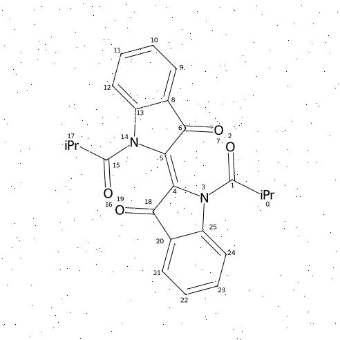 CC(C)C(=O)N1C(=C2C(=O)c3ccccc3N2C(=O)C(C)C)C(=O)c2ccccc21